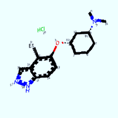 CCc1c(O[C@H]2CCC[C@@H](N(C)C)C2)ccc2[nH]ncc12.Cl